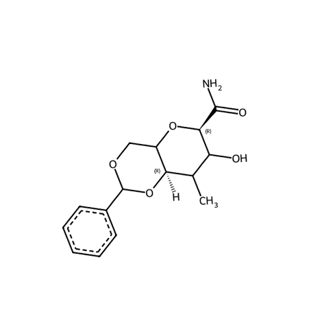 CC1C(O)[C@H](C(N)=O)OC2COC(c3ccccc3)O[C@@H]21